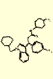 Cc1ccc(C(CC(=O)NC2CCC(N)CC2)c2cn(CC3CCCCC3)c3ccccc23)cc1